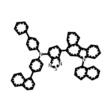 c1ccc(-c2ccc(N(c3ccc(-c4cccc5ccccc45)cc3)c3ccc(-c4cc5c(c6ccccc46)c4ccccc4n5-c4cccc5ccccc45)c4nsnc34)cc2)cc1